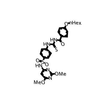 CCCCCCOc1ccc(C(=O)NC(=S)Nc2ccc(S(=O)(=O)Nc3cc(OC)nc(OC)n3)cc2)cc1